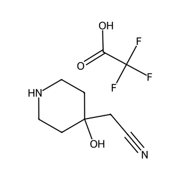 N#CCC1(O)CCNCC1.O=C(O)C(F)(F)F